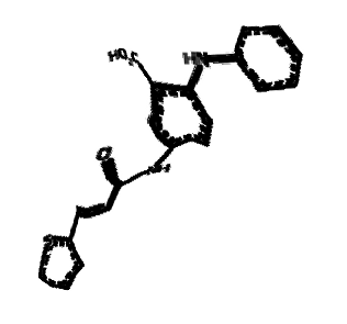 O=C(/C=C/c1cccs1)Nc1ccc(Nc2ccccc2)c(C(=O)O)c1